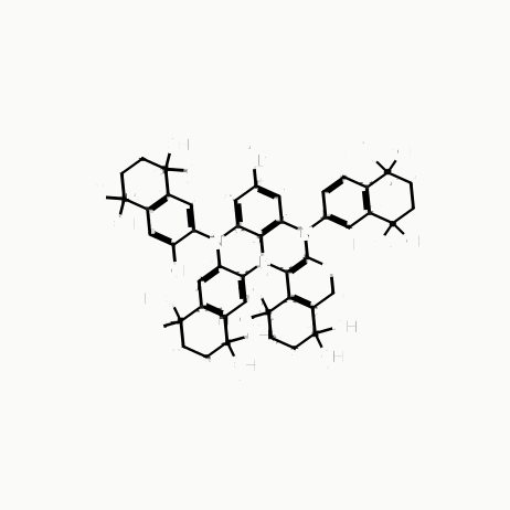 Cc1cc2c(cc1N1c3cc4c(cc3B3C5=C(OCC6=C5C(C)(C)CCC6(C)C)N(c5ccc6c(c5)C(C)(C)CCC6(C)C)c5cc(C(C)(C)C)cc1c53)C(C)(C)CCC4(C)C)C(C)(C)CCC2(C)C